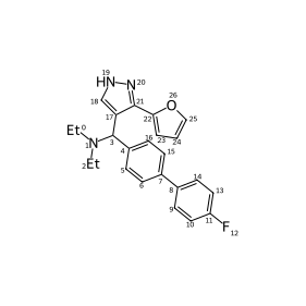 CCN(CC)C(c1ccc(-c2ccc(F)cc2)cc1)c1c[nH]nc1-c1ccco1